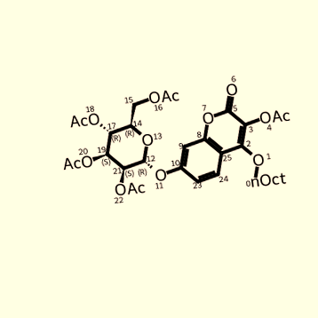 CCCCCCCCOc1c(OC(C)=O)c(=O)oc2cc(O[C@H]3O[C@H](COC(C)=O)[C@@H](OC(C)=O)[C@H](OC(C)=O)[C@@H]3OC(C)=O)ccc12